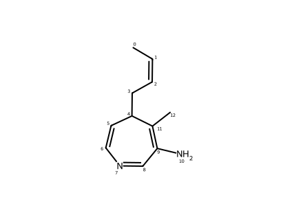 C/C=C\CC1C=CN=CC(N)=C1C